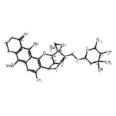 COc1c2c(c(O)c3c4c(c(C)cc13)C1OC3(COC5CC(C)(O)C(O)C(C)O5)OC1[C@@](OC)(O4)[C@@]31CO1)C(=O)CCC2